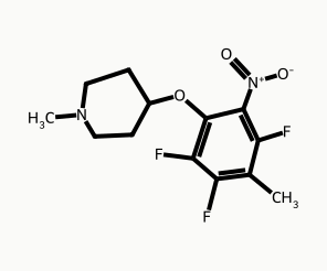 Cc1c(F)c(F)c(OC2CCN(C)CC2)c([N+](=O)[O-])c1F